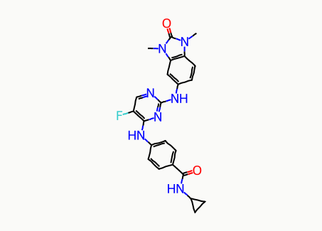 Cn1c(=O)n(C)c2cc(Nc3ncc(F)c(Nc4ccc(C(=O)NC5CC5)cc4)n3)ccc21